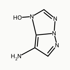 Nc1cnn2ncn(O)c12